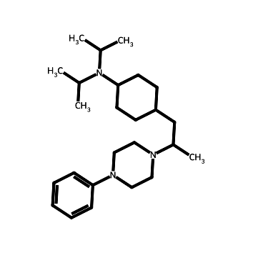 CC(CC1CCC(N(C(C)C)C(C)C)CC1)N1CCN(c2ccccc2)CC1